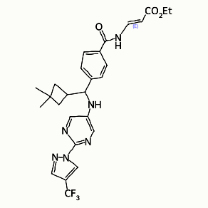 CCOC(=O)/C=C/NC(=O)c1ccc(C(Nc2cnc(-n3cc(C(F)(F)F)cn3)nc2)C2CC(C)(C)C2)cc1